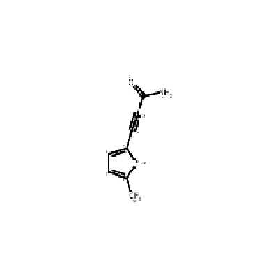 NC(=O)C#Cc1ccc(C(F)(F)F)s1